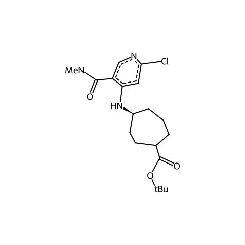 CNC(=O)c1cnc(Cl)cc1N[C@H]1CCCC(C(=O)OC(C)(C)C)CC1